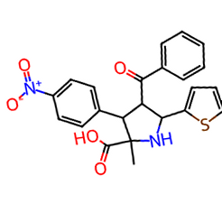 CC1(C(=O)O)NC(c2cccs2)C(C(=O)c2ccccc2)C1c1ccc([N+](=O)[O-])cc1